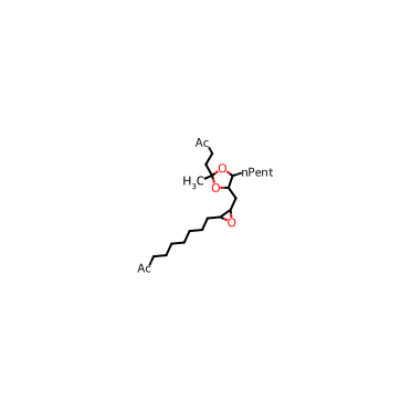 CCCCCC1OC(C)(CCC(C)=O)OC1CC1OC1CCCCCCCC(C)=O